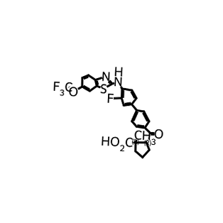 C[C@@]1(C(=O)O)CCC[C@H]1C(=O)c1ccc(-c2ccc(Nc3nc4ccc(OC(F)(F)F)cc4s3)c(F)c2)cc1